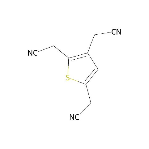 N#CCc1cc(CC#N)c(CC#N)s1